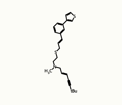 CN(CC=CC#CC(C)(C)C)CCSCC=Cc1cccc(-c2ccsc2)c1